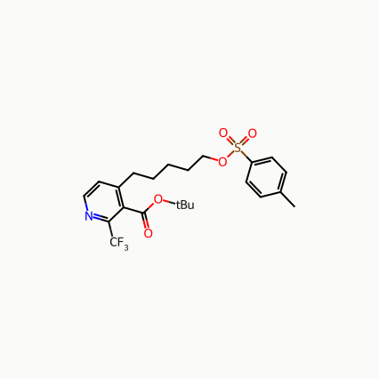 Cc1ccc(S(=O)(=O)OCCCCCc2ccnc(C(F)(F)F)c2C(=O)OC(C)(C)C)cc1